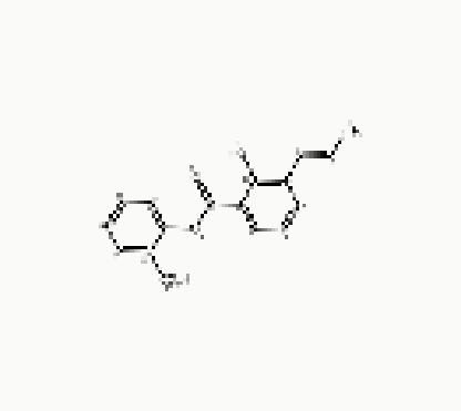 CCCCC=Cc1cccc(C(=O)Oc2ccccc2C(=O)O)c1O